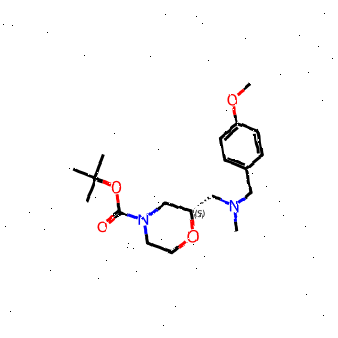 COc1ccc(CN(C)C[C@H]2CN(C(=O)OC(C)(C)C)CCO2)cc1